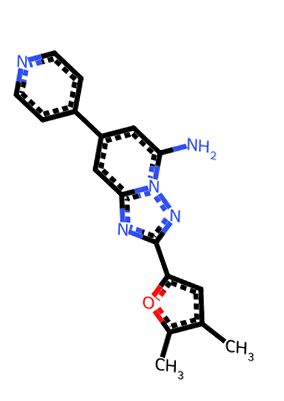 Cc1cc(-c2nc3cc(-c4ccncc4)cc(N)n3n2)oc1C